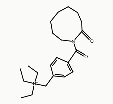 CC[N+](CC)(CC)Cc1ccc(C(=O)N2CCCCCCCC2=O)cc1